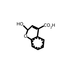 O=C(O)C1=CC(O)Oc2ccccc21